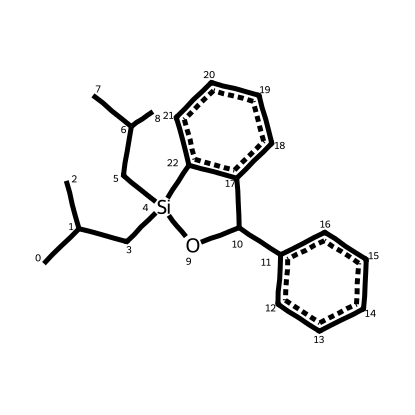 CC(C)C[Si]1(CC(C)C)OC(c2ccccc2)c2ccccc21